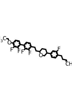 C=CCCc1ccc(C2CCC(CCc3ccc(-c4ccc(OCC)c(F)c4F)c(F)c3F)OC2)cc1F